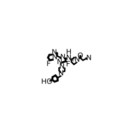 N#CCC(=O)N1CCC[C@@H](Nc2nc(-c3cnc4ccc(F)cn34)nc(N3CCN(Cc4ccc(O)cc4)CC3)c2F)C1